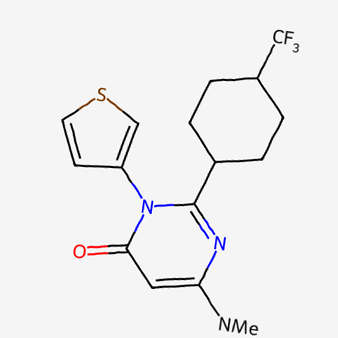 CNc1cc(=O)n(-c2ccsc2)c(C2CCC(C(F)(F)F)CC2)n1